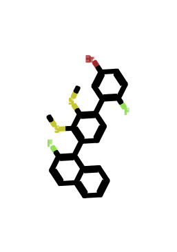 CSc1c(-c2cc(Br)ccc2F)ccc(-c2c(F)ccc3ccccc23)c1SC